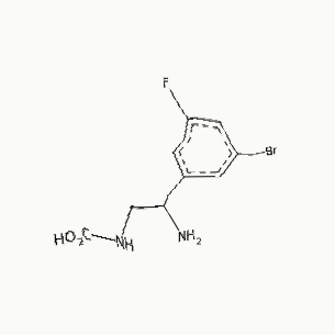 NC(CNC(=O)O)c1cc(F)cc(Br)c1